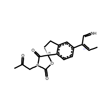 C/C=C(\C=N)c1ccc2c(c1)CC[C@@]21OC(=O)N(CC(C)=O)C1=O